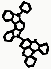 c1ccc(-n2c3ccccc3c3c4c5ccccc5n(-c5cc6c7c(c5)Sc5ccccc5B7c5ccccc5S6)c4ccc32)cc1